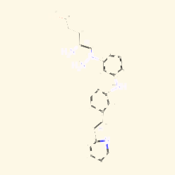 N/C(=C\N(N)c1cccc(Nc2cccc(/C=C/c3ccccn3)c2)c1)CCCO